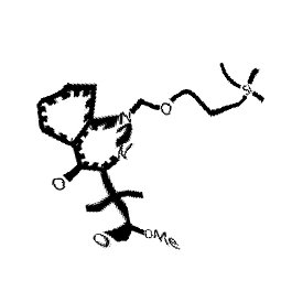 COC(=O)C(C)(C)c1nn(COCC[Si](C)(C)C)c2ccccc2c1=O